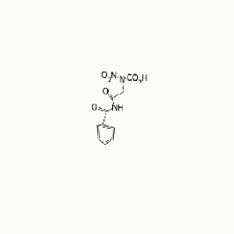 O=C(CN(C(=O)O)[N+](=O)[O-])NC(=O)c1ccccc1